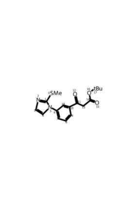 CSc1nccn1-c1cccc(C(=O)CC(=O)OC(C)(C)C)c1